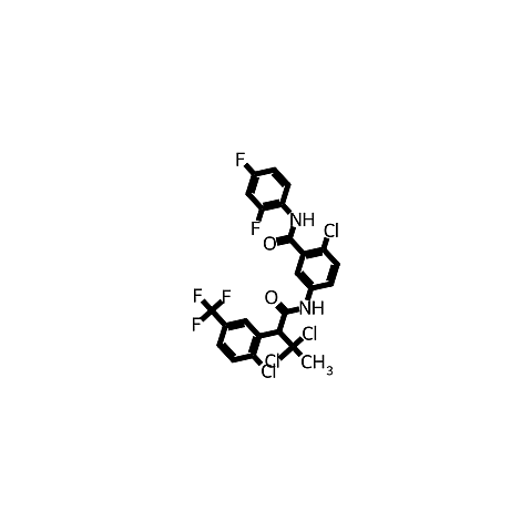 CC(Cl)(Cl)C(C(=O)Nc1ccc(Cl)c(C(=O)Nc2ccc(F)cc2F)c1)c1cc(C(F)(F)F)ccc1Cl